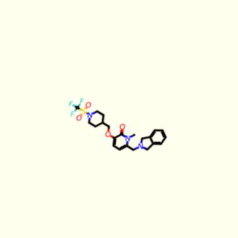 Cn1c(CN2Cc3ccccc3C2)ccc(OCC2CCN(S(=O)(=O)C(F)(F)F)CC2)c1=O